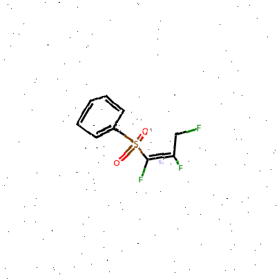 O=S(=O)(/C(F)=C(/F)CF)c1ccccc1